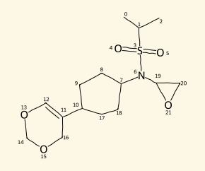 CC(C)S(=O)(=O)N(C1CCC(C2=COCOC2)CC1)C1CO1